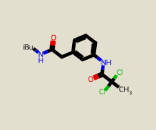 CCC(C)NC(=O)Cc1cccc(NC(=O)C(C)(Cl)Cl)c1